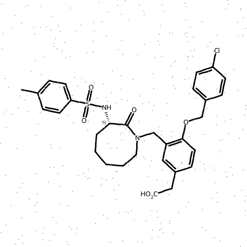 Cc1ccc(S(=O)(=O)N[C@H]2CCCCCN(Cc3cc(CC(=O)O)ccc3OCc3ccc(Cl)cc3)C2=O)cc1